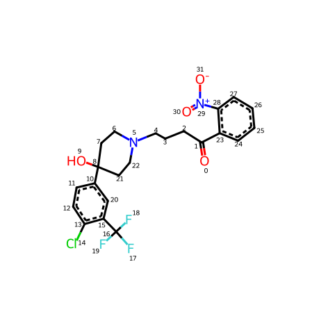 O=C(CCCN1CCC(O)(c2ccc(Cl)c(C(F)(F)F)c2)CC1)c1ccccc1[N+](=O)[O-]